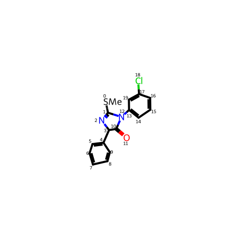 CSC1=NC(c2ccccc2)C(=O)N1c1cccc(Cl)c1